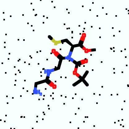 COC(=O)[C@H](CSC)N(C(=O)CNC(=O)CN)C(=O)OC(C)(C)C